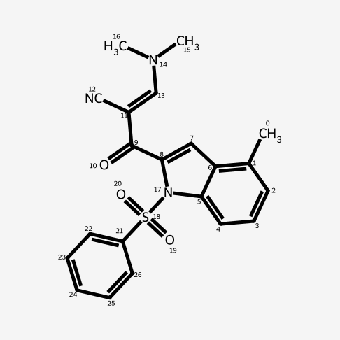 Cc1cccc2c1cc(C(=O)C(C#N)=CN(C)C)n2S(=O)(=O)c1ccccc1